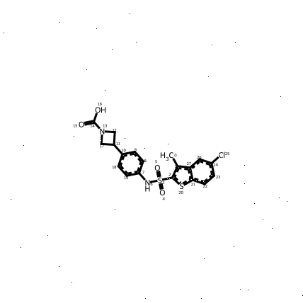 Cc1c(S(=O)(=O)Nc2ccc(C3CN(C(=O)O)C3)cc2)sc2ccc(Cl)cc12